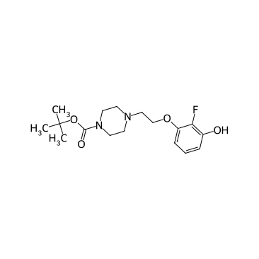 CC(C)(C)OC(=O)N1CCN(CCOc2cccc(O)c2F)CC1